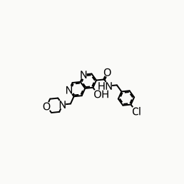 O=C(NCc1ccc(Cl)cc1)c1cnc2cnc(CN3CCOCC3)cc2c1O